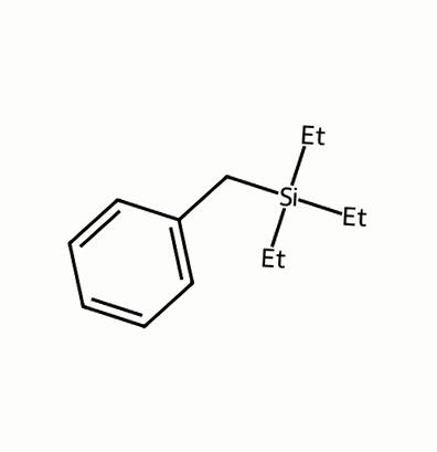 CC[Si](CC)(CC)Cc1ccccc1